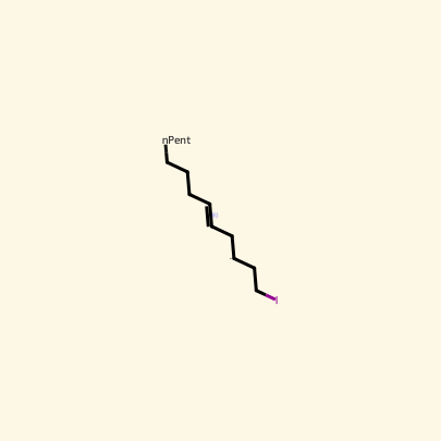 CCCCCCCC/C=C/C[CH]CCI